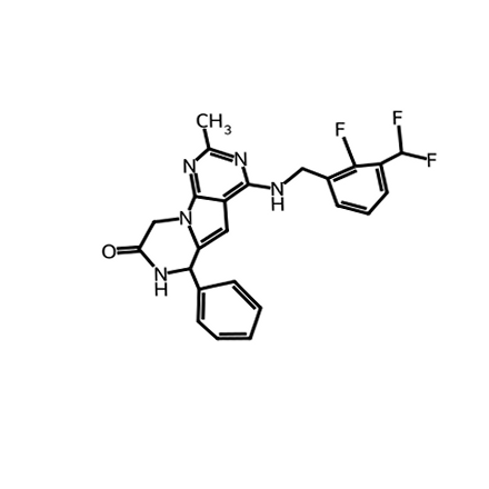 Cc1nc(NCc2cccc(C(F)F)c2F)c2cc3n(c2n1)CC(=O)NC3c1ccccc1